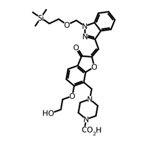 C[Si](C)(C)CCOCn1nc(C=C2Oc3c(ccc(OCCO)c3CN3CCN(C(=O)O)CC3)C2=O)c2ccccc21